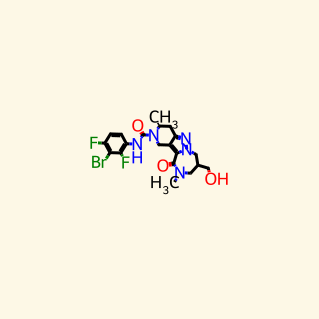 C[C@@H]1Cc2nn3c(c2CN1C(=O)Nc1ccc(F)c(Br)c1F)C(=O)N(C)CC(CO)C3